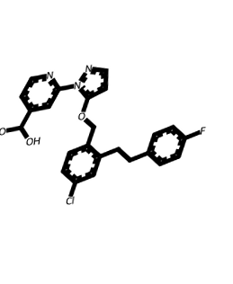 OC(O)c1ccnc(-n2nccc2OCc2ccc(Cl)cc2CCc2ccc(F)cc2)c1